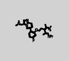 CCC/C=C(C)/C(CCOc1cc(F)ccc1-c1ccc2ncc(CN(C)C)n2c1)=C(/C)N(C)C